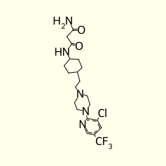 NC(=O)CC(=O)NC1CCC(CCN2CCN(c3ncc(C(F)(F)F)cc3Cl)CC2)CC1